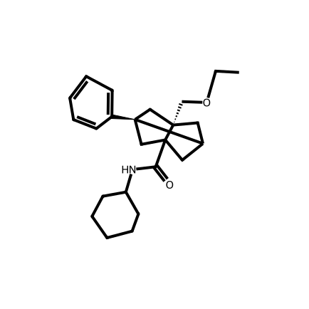 CCOC[C@]12CC3CC1(C(=O)NC1CCCCC1)C[C@]3(c1ccccc1)C2